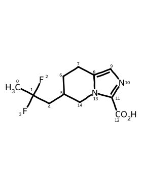 CC(F)(F)CC1CCc2cnc(C(=O)O)n2C1